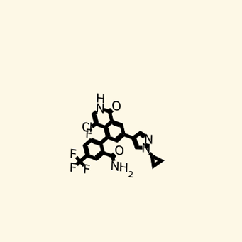 NC(=O)c1cc(C(F)(F)F)cc(F)c1-c1cc(-c2cnn(C3CC3)c2)cc2c(=O)[nH]cc(Cl)c12